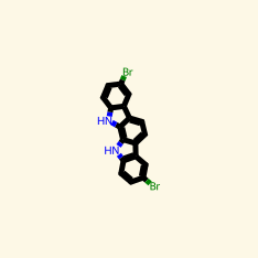 BrC1=CC2c3ccc4c([nH]c5ccc(Br)cc54)c3NC2C=C1